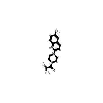 CC(O)C(=O)N1CCN(c2ccc3cc(C(F)(F)F)ccc3n2)CC1